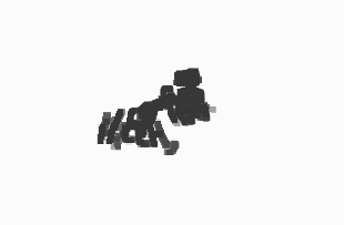 CC(C)(C)N1CCC(CNC(=O)Nc2cc(-c3cccs3)ccc2[N+](=O)[O-])CC1